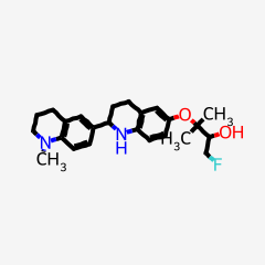 CN1CCCc2cc(C3CCc4cc(OC(C)(C)C(O)CF)ccc4N3)ccc21